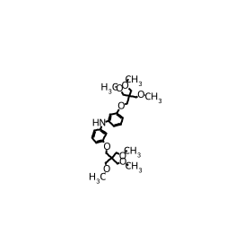 COCC(COC)(COC)COc1cccc(Nc2cccc(OCC(COC)(COC)COC)c2)c1